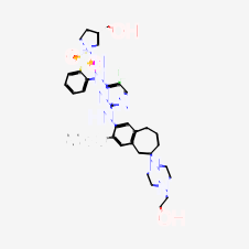 COc1cc2c(cc1Nc1ncc(Cl)c(Nc3ccccc3S(=O)(=O)N3CC[C@@H](CO)C3)n1)CCCC(N1CCN(CCO)CC1)C2